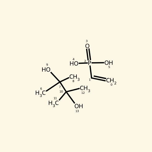 C=CP(=O)(O)O.CC(C)(O)C(C)(C)O